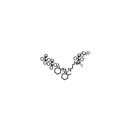 CC1CCCCN1C.CC1CCCCN1C.NCCN.O=S(=O)([O-])[O-].O=S(=O)([O-])[O-].O=S(=O)([O-])[O-].[Cr+3].[Cr+3]